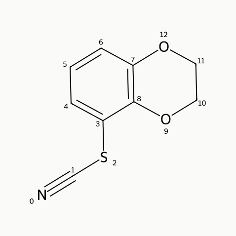 N#CSc1cccc2c1OCCO2